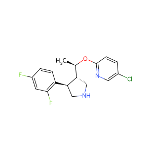 C[C@@H](Oc1ccc(Cl)cn1)[C@@H]1CNC[C@H]1c1ccc(F)cc1F